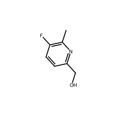 Cc1nc(CO)ccc1F